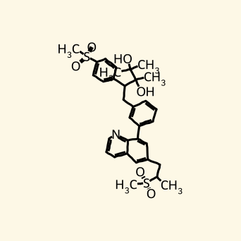 CC(Cc1cc(-c2cccc(CC(c3ccc(S(C)(=O)=O)cc3)C(C)(O)C(C)(C)O)c2)c2ncccc2c1)S(C)(=O)=O